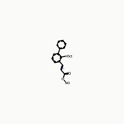 CCCCCCCCc1c(/C=C/C(=O)ON=O)cccc1-c1ccccc1